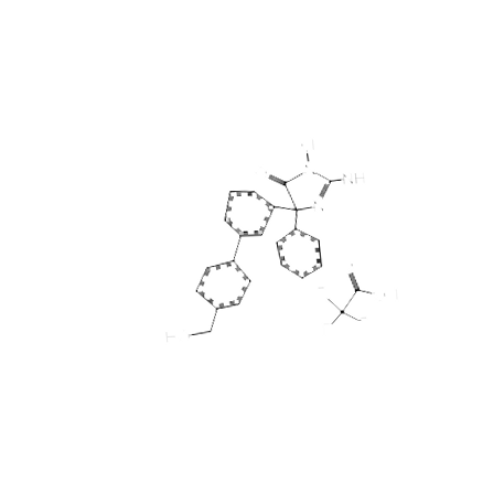 CN1C(=O)C(c2ccccc2)(c2cccc(-c3ccc(CO)cc3)c2)N=C1N.O=C(O)C(F)(F)F